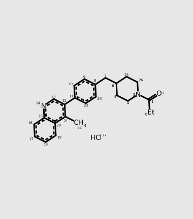 CCC(=O)N1CCC(Cc2ccc(-c3cnc4ccccc4c3C)cc2)CC1.Cl